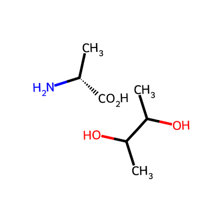 CC(O)C(C)O.C[C@@H](N)C(=O)O